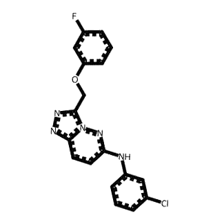 Fc1cccc(OCc2nnc3ccc(Nc4cccc(Cl)c4)nn23)c1